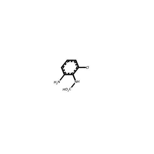 Nc1cccc(Cl)c1NC(=O)O